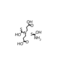 NC(O)=S.O=C(O)CCN(CCC(=O)O)C(O)=S